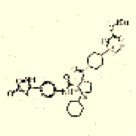 CC(C)(C)OC(=O)N[C@H](CF)[C@H]1CC[C@H](C(=O)N2CC[C@@H](C3CCCCC3)[C@H]2C(=O)Nc2ccc(-c3nc(=O)o[nH]3)cc2)CC1